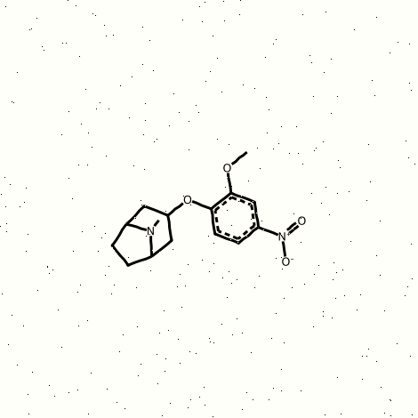 COc1cc([N+](=O)[O-])ccc1OC1CC2CCC(C1)N2C